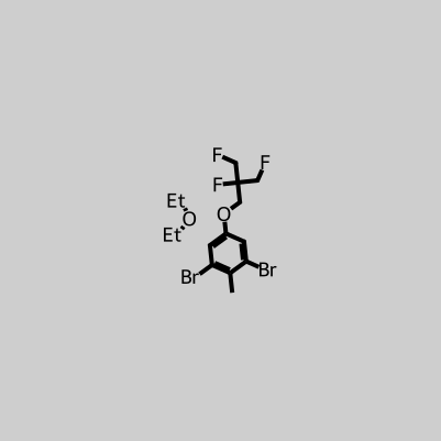 CCOCC.Cc1c(Br)cc(OCC(F)(CF)CF)cc1Br